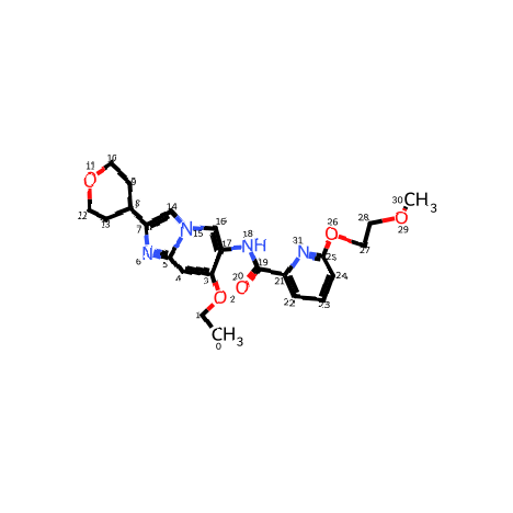 CCOc1cc2nc(C3CCOCC3)cn2cc1NC(=O)c1cccc(OCCOC)n1